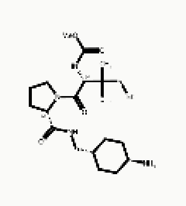 CCSC(C)(C)[C@@H](NC(=O)OC)C(=O)N1CCC[C@H]1C(=O)NC[C@H]1CC[C@H](N)CC1